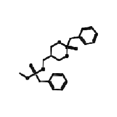 COP(=O)(Cc1ccccc1)OCC1COP(=O)(Cc2ccccc2)OC1